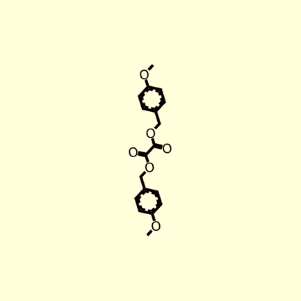 COc1ccc(COC(=O)C(=O)OCc2ccc(OC)cc2)cc1